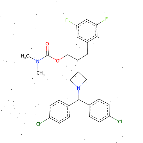 CN(C)C(=O)OCC(Cc1cc(F)cc(F)c1)C1CN(C(c2ccc(Cl)cc2)c2ccc(Cl)cc2)C1